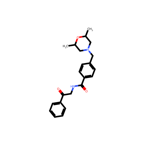 CC1CN(Cc2ccc(C(=O)NCC(=O)c3ccccc3)cc2)CC(C)O1